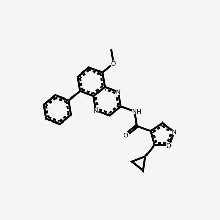 COc1ccc(-c2ccccc2)c2ncc(NC(=O)c3cnoc3C3CC3)nc12